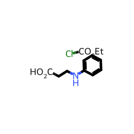 CCOC(=O)Cl.O=C(O)CCNc1ccccc1